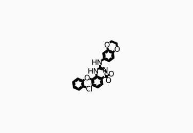 O=S1(=O)N=C(Nc2ccc3c(c2)OCCO3)Nc2c(Oc3ccccc3Cl)cccc21